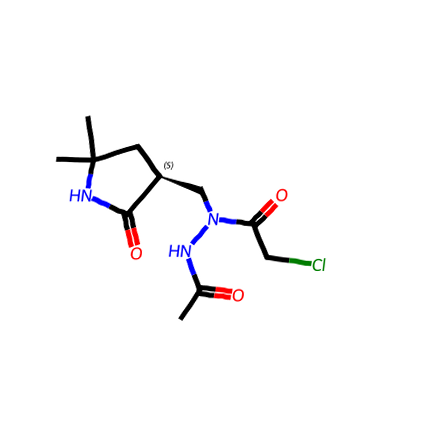 CC(=O)NN(C[C@@H]1CC(C)(C)NC1=O)C(=O)CCl